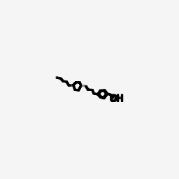 CCCCC[C@H]1CC[C@H](CCCCc2ccc(CO)cc2)CC1